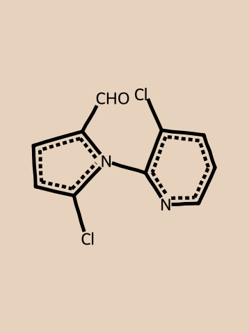 O=Cc1ccc(Cl)n1-c1ncccc1Cl